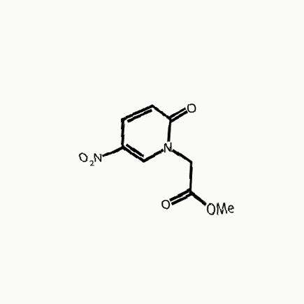 COC(=O)Cn1cc([N+](=O)[O-])ccc1=O